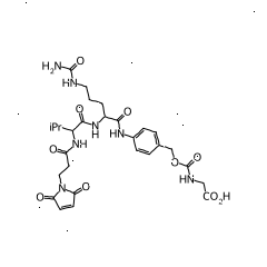 CC(C)C(NC(=O)CCN1C(=O)C=CC1=O)C(=O)NC(CCCNC(N)=O)C(=O)Nc1ccc(COC(=O)NCC(=O)O)cc1